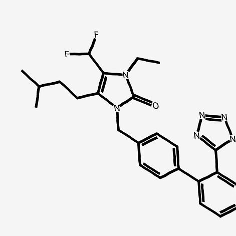 CCn1c(C(F)F)c(CCC(C)C)n(Cc2ccc(-c3ccccc3-c3nnn[nH]3)cc2)c1=O